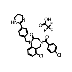 O=C(O)C(F)(F)F.O=C(c1ccc(Cl)cc1)N1CC(=O)N(Cc2ccc(C3=NCCCN3)cc2)c2cccc(Cl)c2C1